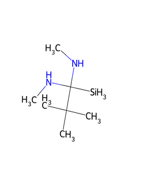 CNC([SiH3])(NC)C(C)(C)C